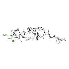 CCCC=C[C@@H]1CC[C@H]2[C@H](CC[C@H]3C[C@H](c4ccc(C(F)(F)F)c(F)c4)CC[C@@H]32)C1